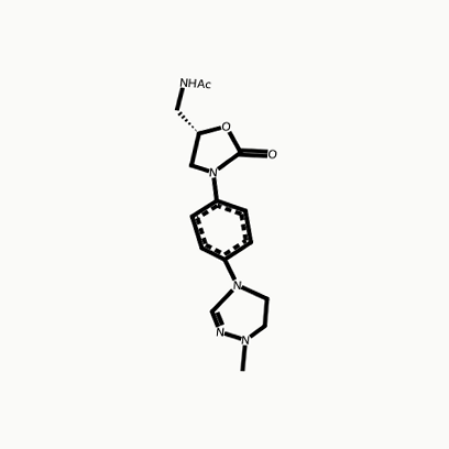 CC(=O)NC[C@H]1CN(c2ccc(N3C=NN(C)CC3)cc2)C(=O)O1